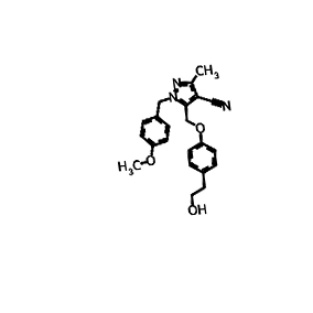 COc1ccc(Cn2nc(C)c(C#N)c2COc2ccc(CCO)cc2)cc1